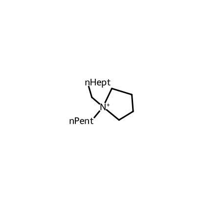 CCCCCCCC[N+]1(CCCCC)CCCC1